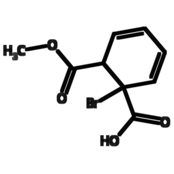 COC(=O)C1C=CC=CC1(Br)C(=O)O